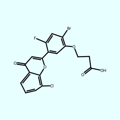 O=C(O)CCOc1cc(-c2cc(=O)c3cccc(Cl)c3o2)c(F)cc1Br